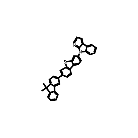 CC1(C)c2ccccc2-c2cc(-c3ccc4c(c3)sc3cc(-n5c6ccccc6c6cccnc65)ccc34)ccc21